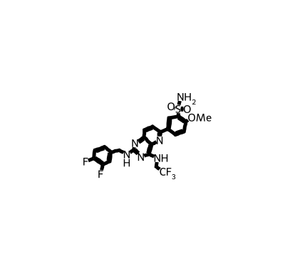 COc1ccc(-c2ccc3nc(NCc4ccc(F)c(F)c4)nc(NCC(F)(F)F)c3n2)cc1S(N)(=O)=O